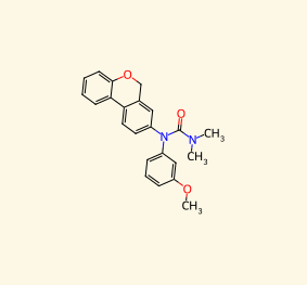 COc1cccc(N(C(=O)N(C)C)c2ccc3c(c2)COc2ccccc2-3)c1